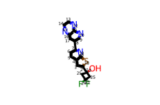 OC1(c2cc3ccc(-c4cnc5nccnc5c4)nc3s2)CC(F)(F)C1